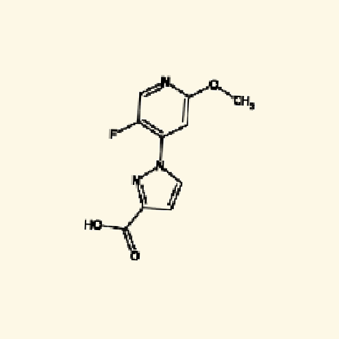 COc1cc(-n2ccc(C(=O)O)n2)c(F)cn1